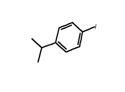 CC(C)c1ccc(I)cc1